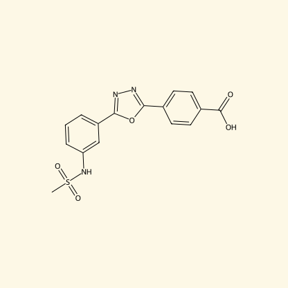 CS(=O)(=O)Nc1cccc(-c2nnc(-c3ccc(C(=O)O)cc3)o2)c1